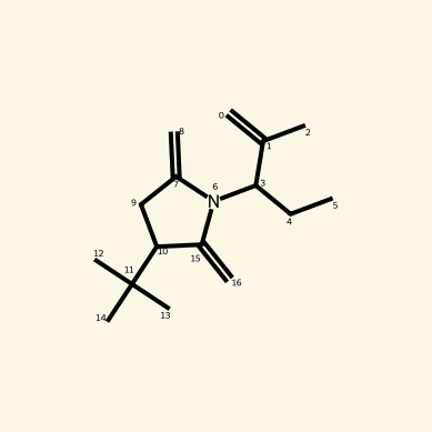 C=C(C)C(CC)N1C(=C)CC(C(C)(C)C)C1=C